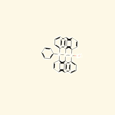 O[Si](c1ccccc1)(c1ccccc1)[Si](c1ccccc1)(c1ccccc1)[Si](c1ccccc1)(c1ccccc1)c1ccccc1